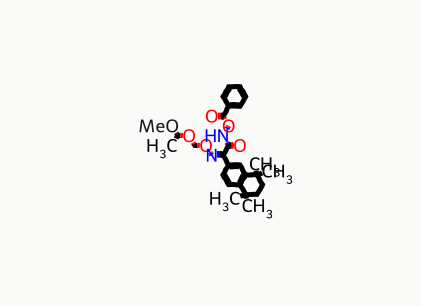 COC(C)OCON=C(C(=O)NOC(=O)c1ccccc1)c1ccc2c(c1)C(C)(C)CCC2(C)C